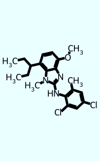 CCC(CC)c1ccc(OC)c2nc(Nc3c(C)cc(Cl)cc3Cl)n(C)c12